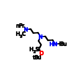 CCCN(C)CCCN(CCCNC(C)CC)CC[SiH2]OC(C)(C)C